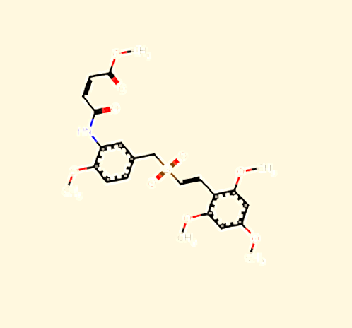 COC(=O)/C=C\C(=O)Nc1cc(CS(=O)(=O)/C=C/c2c(OC)cc(OC)cc2OC)ccc1OC